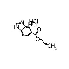 C=CCOC(=O)c1ccc2[nH]cnc2c1.Cl.Cl